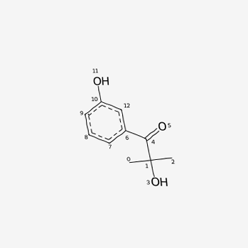 CC(C)(O)C(=O)c1cc[c]c(O)c1